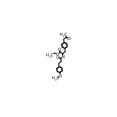 CCOC(=O)/C(Cc1ccc(CC(C)=O)cc1)=N\C(=O)CCc1ccc(OC)cc1